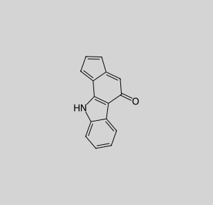 O=C1C=C2C=CC=C2c2[nH]c3ccccc3c21